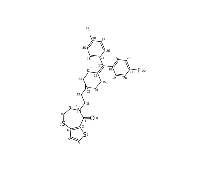 O=C1c2sccc2SCCN1CCN1CCC(=C(c2ccc(F)cc2)c2ccc(F)cc2)CC1